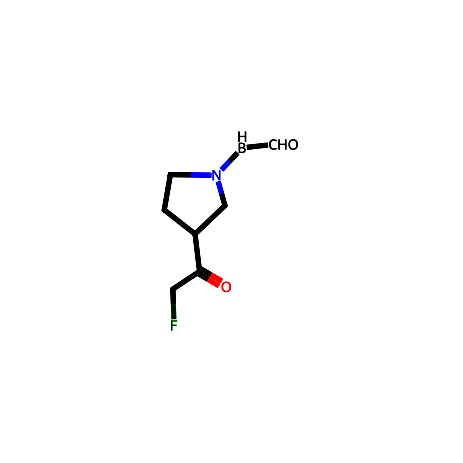 O=CBN1CCC(C(=O)CF)C1